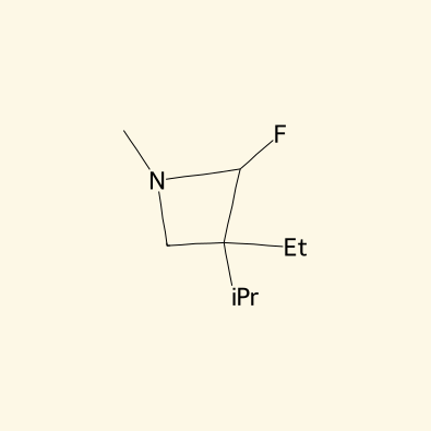 CCC1(C(C)C)CN(C)C1F